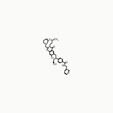 C#CCN(Cc1cc2c(=O)n(CCN(C)C)c(CN3CCCCC3)nc2cc1Cl)c1ccc(C(=O)NCc2cccnc2)cc1